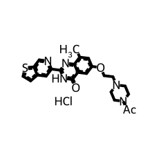 CC(=O)N1CCN(CCOc2cc(C)c3nc(-c4cc5ccsc5cn4)[nH]c(=O)c3c2)CC1.Cl